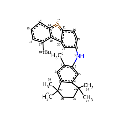 Cc1cc2c(cc1Nc1ccc3sc4cccc(C(C)(C)C)c4c3c1)C(C)(C)CCC2(C)C